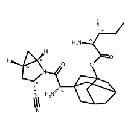 CC[C@@H](C)[C@H](N)C(=O)OC12CC3CC(C1)CC([C@H](N)C(=O)N1[C@H](C#N)C[C@@H]4C[C@@H]41)(C3)C2